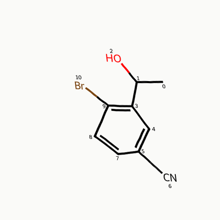 CC(O)c1cc(C#N)ccc1Br